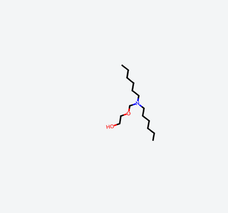 CCCCCCN(CCCCCC)COCCO